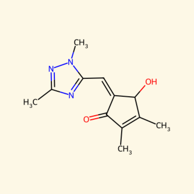 CC1=C(C)C(O)/C(=C/c2nc(C)nn2C)C1=O